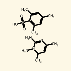 CC1=CC(C)N(N)C(N)=N1.Cc1cc(C)c(S(=O)(=O)O)c(C)c1